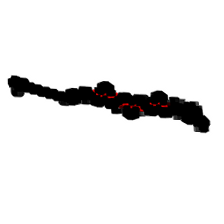 C=C(C)C(=O)OCCCCCCCCCCOc1ccc(-c2ccc(-c3ccc4c(c3)C3(c5cc(-c6ccc7c(c6)C6(c8cc(-c9ccc%10c(c9)C9(c%11cc(-c%12ccc(-c%13ccc(-c%14ccc(C)s%14)c%14nsnc%13%14)s%12)ccc%11-%10)C%10(CCC)CCCC9(CCC)CCC%10)ccc8-7)C7(CC)CCCC6(CC)CCC7)ccc5-4)C4(C)CCCC3(C)CCC4)s2)cc1